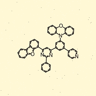 c1ccc(-c2nc(-c3cc(-c4ccncc4)cc(N4c5ccccc5Oc5ccccc54)c3)cc(-c3cccc4c3oc3ccccc34)n2)cc1